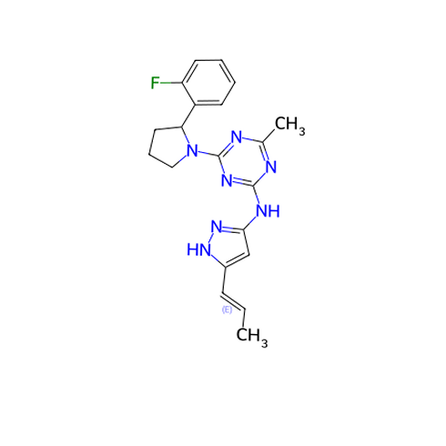 C/C=C/c1cc(Nc2nc(C)nc(N3CCCC3c3ccccc3F)n2)n[nH]1